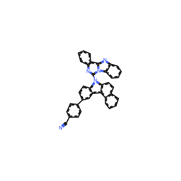 N#Cc1ccc(-c2ccc3c(c2)c2c4ccccc4ccc2n3-c2nc3ccccc3c3nc4ccccc4n23)cc1